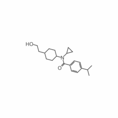 CC(C)c1ccc(C(=O)N(C2CCC(CCO)CC2)C2CC2)cc1